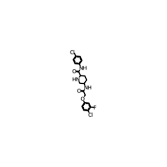 O=C(COc1ccc(Cl)c(F)c1)NC1CCC(C(=O)Nc2ccc(Cl)cc2)NC1